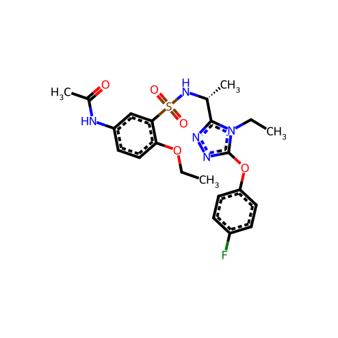 CCOc1ccc(NC(C)=O)cc1S(=O)(=O)N[C@H](C)c1nnc(Oc2ccc(F)cc2)n1CC